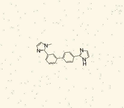 Cn1ccnc1-c1cc[c]c(-c2ccc(-c3ncc[nH]3)cc2)c1